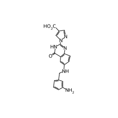 Nc1cccc(CNc2ccc3nc(-n4cc(C(=O)O)cn4)[nH]c(=O)c3c2)c1